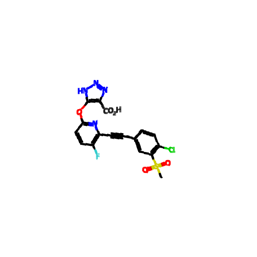 CS(=O)(=O)c1cc(C#Cc2nc(Oc3[nH]nnc3C(=O)O)ccc2F)ccc1Cl